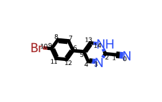 N#CC1N=CC(c2ccc(Br)cc2)=CN1